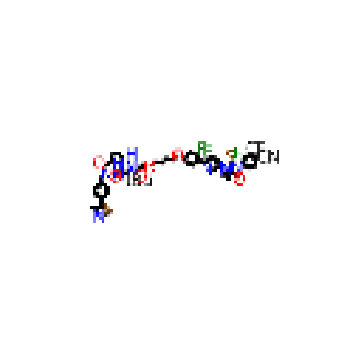 Cc1ncsc1-c1ccc(CNC(=O)C2CCCN2C(=O)C(NC(=O)COCCCCOc2ccc(-c3ncc(N4C(=S)N(c5ccc(C#N)c(C(F)(F)F)c5F)C(=O)C4(C)C)cc3F)c(F)c2)C(C)(C)C)cc1